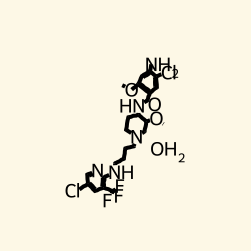 COc1cc(N)c(Cl)cc1C(=O)NC1CCN(CCCCNc2ncc(Cl)cc2C(F)(F)F)CC1OC.O